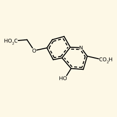 O=C(O)COc1ccc2nc(C(=O)O)cc(O)c2c1